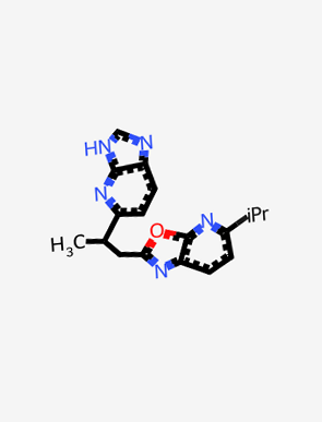 CC(C)c1ccc2nc(CC(C)c3ccc4nc[nH]c4n3)oc2n1